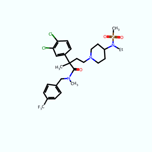 CCN(C1CCN(CCC(C)(C(=O)N(C)Cc2ccc(C(F)(F)F)cc2)c2ccc(Cl)c(Cl)c2)CC1)S(C)(=O)=O